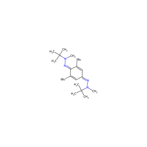 CN(N=C1C=C(C(C)(C)C)C(=NN(C)[Si](C)(C)C)C(C(C)(C)C)=C1)[Si](C)(C)C